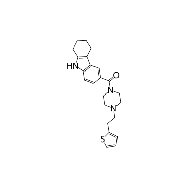 O=C(c1ccc2[nH]c3c(c2c1)CCCC3)N1CCN(CCc2cccs2)CC1